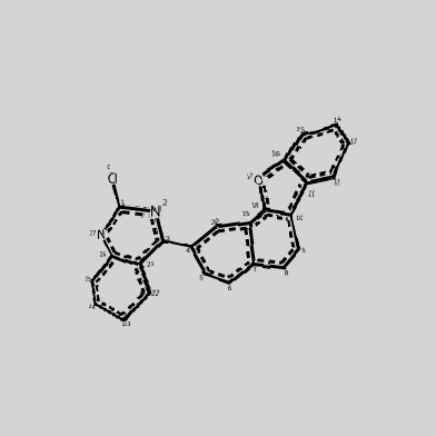 Clc1nc(-c2ccc3ccc4c5ccccc5oc4c3c2)c2ccccc2n1